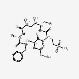 CC(C)C[C@H](NC(=O)[C@H](CCS(C)(=O)=O)NC(=O)[C@@H](NC(=O)OC(C)(C)C)C(C)C)[C@@H](O)C[C@@H](C)C(=O)N[C@H](C(=O)NCc1cccnc1)C(C)C